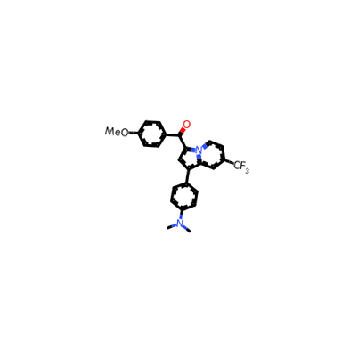 COc1ccc(C(=O)c2cc(-c3ccc(N(C)C)cc3)c3cc(C(F)(F)F)ccn23)cc1